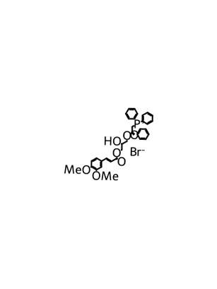 COc1ccc(C=CC(=O)OCC(O)COC(=O)C[P+](c2ccccc2)(c2ccccc2)c2ccccc2)cc1OC.[Br-]